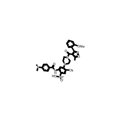 COc1ccccc1-c1noc(C)c1C(=O)N1CCN(c2cc(NC(=O)c3ccc(N(C)C)cc3)c([NH+]([O-])O)cc2C#N)CC1